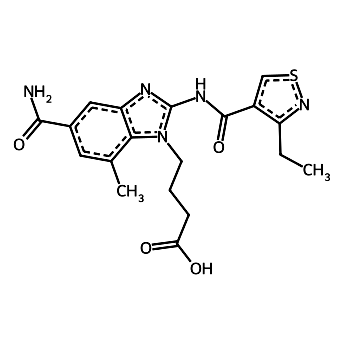 CCc1nscc1C(=O)Nc1nc2cc(C(N)=O)cc(C)c2n1CCCC(=O)O